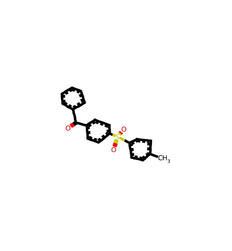 Cc1ccc(S(=O)(=O)c2ccc(C(=O)c3ccccc3)cc2)cc1